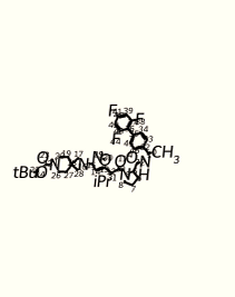 CC(NC(=O)C1CCCN1C(=O)C(c1cc(N2CC3(CCN(C(=O)OC(C)(C)C)CC3)C2)no1)C(C)C)c1ccc(-c2c(F)cc(F)cc2F)cc1